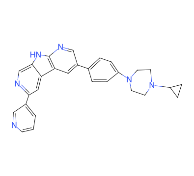 c1cncc(-c2cc3c(cn2)[nH]c2ncc(-c4ccc(N5CCN(C6CC6)CC5)cc4)cc23)c1